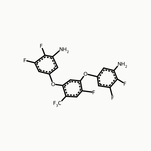 Nc1cc(Oc2cc(Oc3cc(N)c(F)c(F)c3)c(C(F)(F)F)cc2F)cc(F)c1F